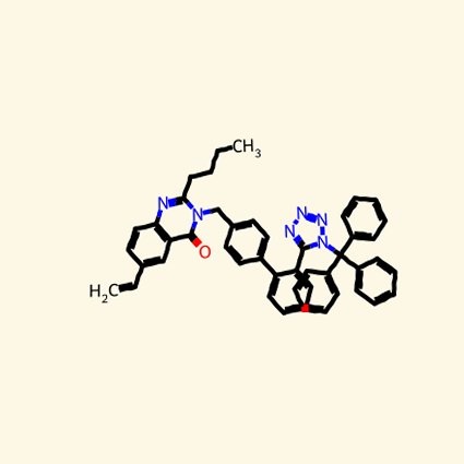 C=Cc1ccc2nc(CCCC)n(Cc3ccc(-c4ccccc4-c4nnnn4C(c4ccccc4)(c4ccccc4)c4ccccc4)cc3)c(=O)c2c1